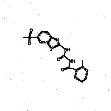 Cc1ccccc1C(=O)NC(=O)Nc1nc2ccc(S(C)(=O)=O)cc2s1